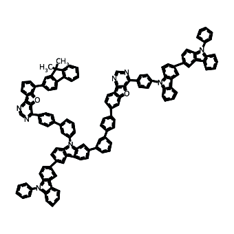 CC1(C)c2ccccc2-c2ccc(-c3cccc4c3oc3c(-c5ccc(-c6cccc(-n7c8ccc(-c9ccc%10c(c9)c9ccccc9n%10-c9ccccc9)cc8c8ccc(-c9cccc(-c%10ccc(-c%11ccc%12c(c%11)oc%11c(-c%13ccc(-n%14c%15ccccc%15c%15cc(-c%16ccc%17c(c%16)c%16ccccc%16n%17-c%16ccccc%16)ccc%15%14)cc%13)ncnc%11%12)cc%10)c9)cc87)c6)cc5)ncnc34)cc21